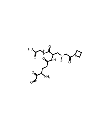 NC(CCC(=O)NC(C[S+]([O-])CC(=O)N1CCC1)C(=O)NCC(=O)O)C(=O)N=O